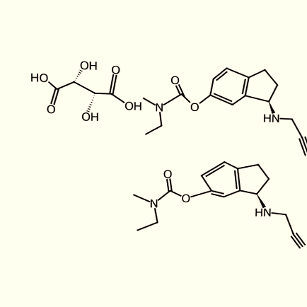 C#CCN[C@@H]1CCc2ccc(OC(=O)N(C)CC)cc21.C#CCN[C@@H]1CCc2ccc(OC(=O)N(C)CC)cc21.O=C(O)[C@H](O)[C@@H](O)C(=O)O